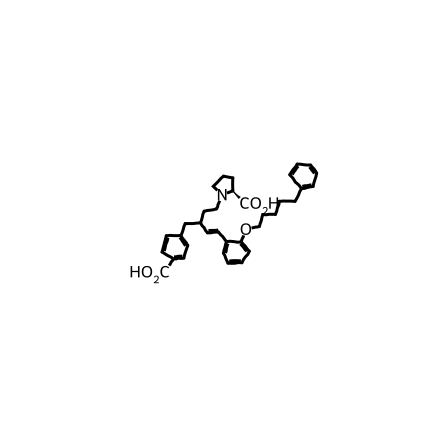 O=C(O)c1ccc(CC(/C=C/c2ccccc2OCCCCCc2ccccc2)CCN2CCC[C@H]2C(=O)O)cc1